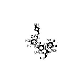 NC[C@H](O)C(=O)N[C@@H]1C[C@H](N)C(O[C@H]2O[C@H](CNCC3CC(N)C3)[C@@H](O)[C@H](O)[C@H]2O)[C@H](O)[C@H]1O[C@H]1O[C@H](CO)[C@@H](O)[C@H](N)[C@H]1O